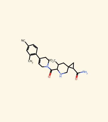 Cc1cc(C#N)ccc1C1=CCN(C(=O)C2NCC3(CC2C(=O)O)CC3C(N)=O)CC1